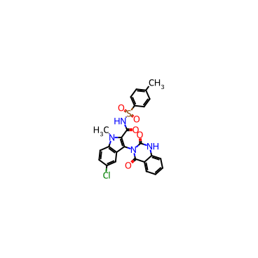 Cc1ccc(S(=O)(=O)NC(=O)c2c(-n3c(=O)[nH]c4ccccc4c3=O)c3cc(Cl)ccc3n2C)cc1